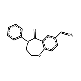 C=Cc1ccc2c(c1)C(=O)N(c1ccccc1)CCO2